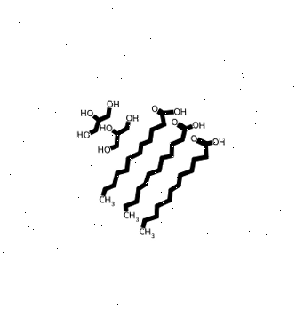 CCCCCCCCCCCC(=O)O.CCCCCCCCCCCC(=O)O.CCCCCCCCCCCC(=O)O.OCC(O)CO.OCC(O)CO